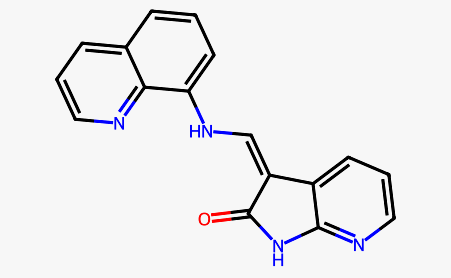 O=C1Nc2ncccc2C1=CNc1cccc2cccnc12